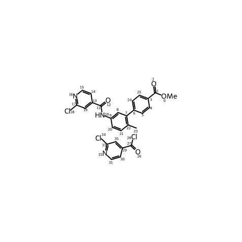 COC(=O)c1ccc(-c2cc(NC(=O)c3ccnc(Cl)c3)ccc2C)cc1.O=C(Cl)c1ccnc(Cl)c1